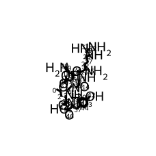 CCC[C@H](NC(=O)[C@H](CC(=O)O)NC(=O)[C@H](CCCCN)NC(=O)[C@@H](N)CCCNC(=N)N)C(=O)N[C@@H](Cc1ccc(O)cc1)C(=O)O